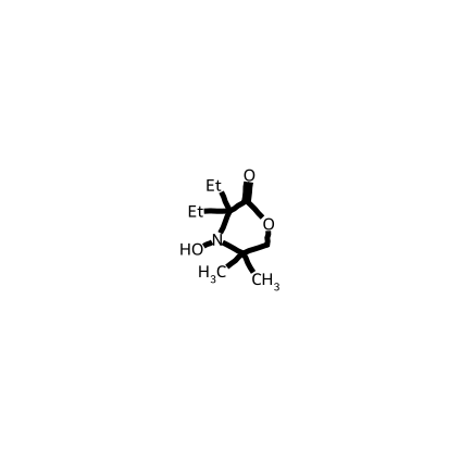 CCC1(CC)C(=O)OCC(C)(C)N1O